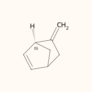 C=C1CC2C=C[C@@H]1C2